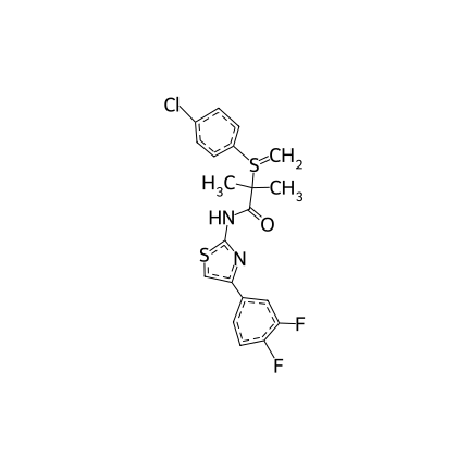 C=S(c1ccc(Cl)cc1)C(C)(C)C(=O)Nc1nc(-c2ccc(F)c(F)c2)cs1